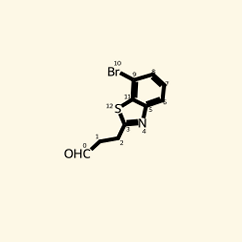 O=CCCc1nc2cccc(Br)c2s1